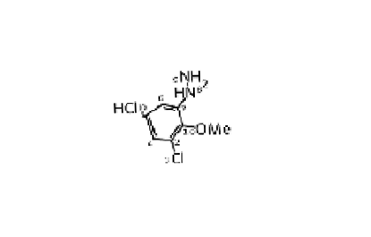 COc1c(Cl)cccc1NN.Cl